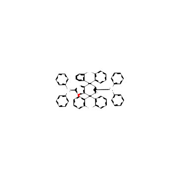 c1ccc(N(c2ccccc2)c2cc3c(s2)C2(c4ccccc4Oc4ccccc42)c2cc(N(c4ccccc4)c4ccccc4)sc2C32c3ccccc3Oc3ccccc32)cc1